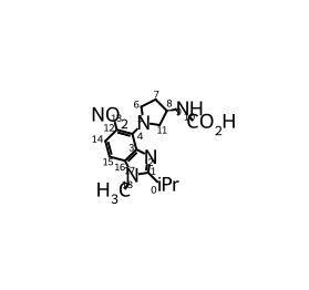 CC(C)c1nc2c(N3CC[C@@H](NC(=O)O)C3)c([N+](=O)[O-])ccc2n1C